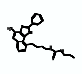 CCCNC(=S)NCCCCc1cccc2nc(N)c3nc(-c4ccccc4)[nH]c3c12